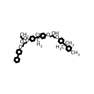 C=CC(=O)OC(COc1ccc(-c2ccccc2)cc1)COc1ccc(C(C)(C)c2ccc(OCC(O)COc3ccc(C(C)(C)c4ccc(C)cc4)cc3)cc2)cc1